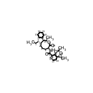 CCC[C@H]1CCC[C@H](NC(=O)c2nccc(OC)c2OC(C)=O)C(=O)O[C@@H](C)[C@@H]1c1ccccc1